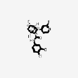 O=C(Nc1ccc(Cl)c(Cl)c1)[C@@H]1[C@@H](c2ccnc(F)c2)[C@H]2O[C@@H]1C[C@@H]2F